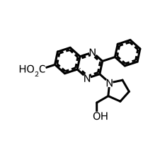 O=C(O)c1ccc2nc(-c3ccccc3)c(N3CCCC3CO)nc2c1